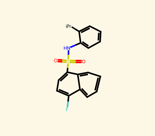 CC(C)c1ccccc1NS(=O)(=O)c1ccc(F)c2ccccc12